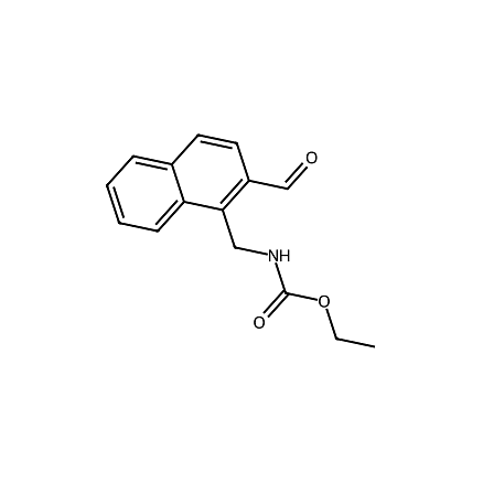 CCOC(=O)NCc1c(C=O)ccc2ccccc12